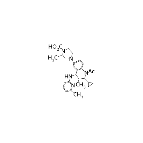 CC(=O)N1c2ccc(N3CCN(C(=O)O)C(C)C3)cc2C(Nc2cccc(C)n2)C(C)C1C1CC1